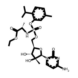 CCOC(=O)[C@H](C)NP(=O)(OC[C@H]1O[C@@H](n2ccc(N)nc2=O)[C@](C)(O)[C@@H]1O)Oc1cc(C)ccc1C(C)C